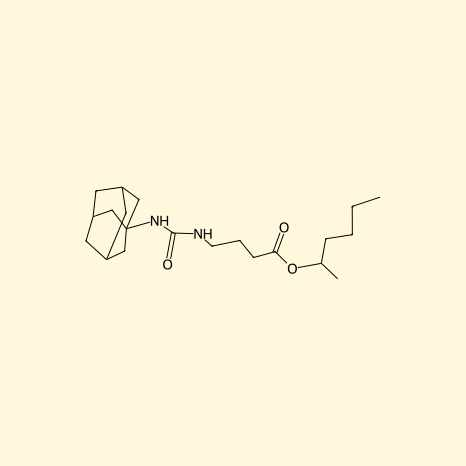 CCCCC(C)OC(=O)CCCNC(=O)NC12CC3CC(CC(C3)C1)C2